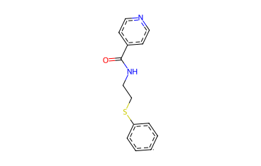 O=C(NCCSc1cc[c]cc1)c1ccncc1